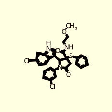 COCCNC(=O)C1(Sc2ccccc2)CC(=O)N(c2cccc(Cl)c2)C1c1c[nH]c2cc(Cl)ccc12